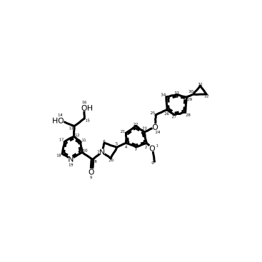 COc1cc(C2CN(C(=O)c3cc(C(O)CO)ccn3)C2)ccc1OCc1ccc(C2CC2)cc1